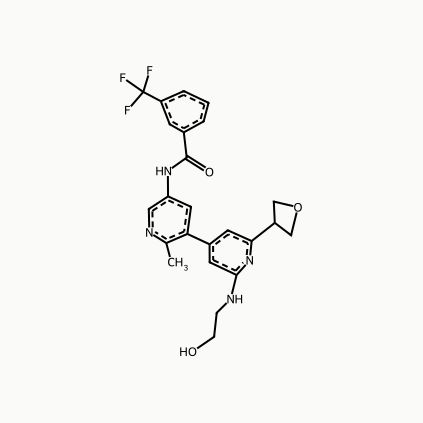 Cc1ncc(NC(=O)c2cccc(C(F)(F)F)c2)cc1-c1cc(NCCO)nc(C2COC2)c1